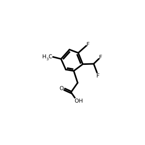 Cc1cc(F)c(C(F)F)c(CC(=O)O)c1